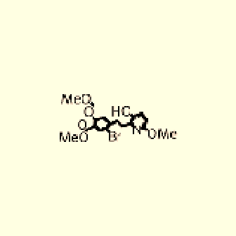 COCOc1cc(CCc2nc(OC)ccc2O)c(Br)cc1C(=O)OC